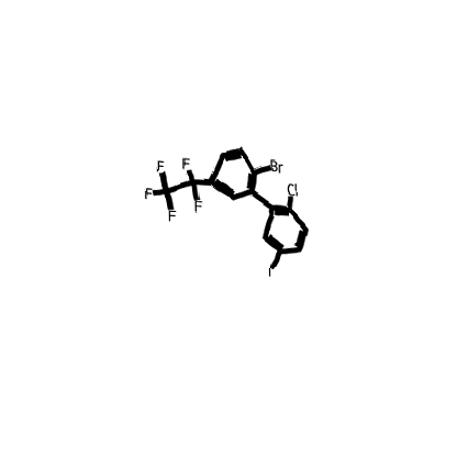 FC(F)(F)C(F)(F)c1c[c]c(Br)c(-c2cc(I)ccc2Cl)c1